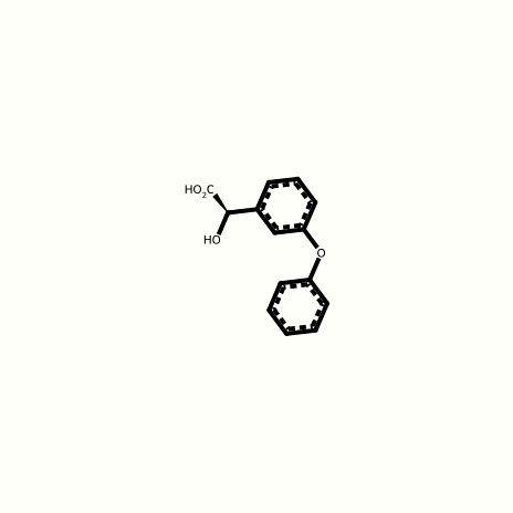 O=C(O)[C@H](O)c1cccc(Oc2ccccc2)c1